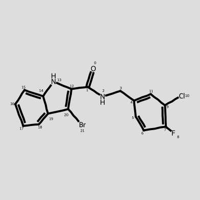 O=C(NCc1ccc(F)c(Cl)c1)c1[nH]c2ccccc2c1Br